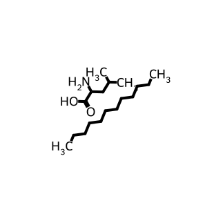 CC(C)CC(N)C(=O)O.CCCCCCCCCCCC